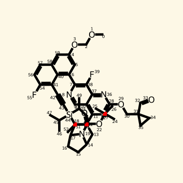 COCOc1cc(-c2ncc3c(N4CC5CCC(C4)N5C(=O)OC(C)(C)C)nc(OCC4(C=O)CC4)nc3c2F)c2c(C#C[Si](C(C)C)(C(C)C)C(C)C)c(F)ccc2c1